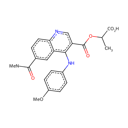 CNC(=O)c1ccc2ncc(C(=O)OC(C)C(=O)O)c(Nc3ccc(OC)cc3)c2c1